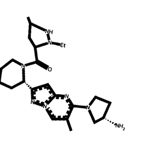 CCN1NC(C)CC1C(=O)N1CCCC[C@H]1c1cc2nc(N3CC[C@H](N)C3)c(C)cn2n1